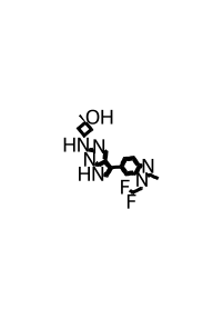 Cc1nc2ccc(-c3c[nH]c4nc(N[C@H]5C[C@@](C)(O)C5)ncc34)cc2n1CC(F)F